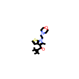 Cc1c(C(=O)C2C(C)(C)C2(C)C)c2ccsc2n1CCN1CCOCC1